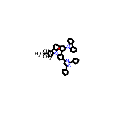 CC(C)(C)c1ccc2c(c1)c1ccccc1n2-c1ccc(-c2cc(-c3ccccc3)nc(-c3ccccc3)n2)cc1-c1cccc(-n2c3ccccc3c3ccccc32)c1